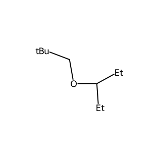 CCC(CC)OCC(C)(C)C